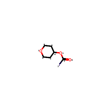 O=C(I)OC1CCOCC1